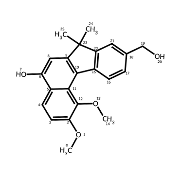 COc1ccc2c(O)cc3c(c2c1OC)-c1ccc(CO)cc1C3(C)C